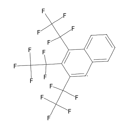 FC(F)(F)C(F)(F)c1[c]c2ccccc2c(C(F)(F)C(F)(F)F)c1C(F)(F)C(F)(F)F